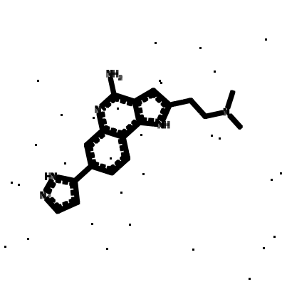 CN(C)CCc1cc2c(N)nc3cc(-c4ccn[nH]4)ccc3c2[nH]1